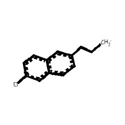 [CH2]CCc1ccc2cc(Cl)ccc2c1